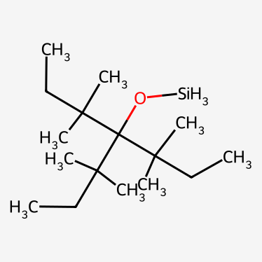 CCC(C)(C)C(O[SiH3])(C(C)(C)CC)C(C)(C)CC